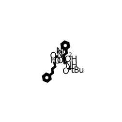 CC(C)(C)C(=O)NCC(O)(O)C(Cc1ccccc1)N(N)C(=O)OCCCCc1ccccc1